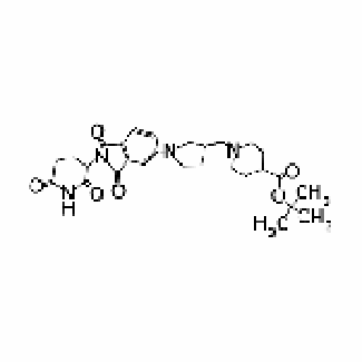 CC(C)(C)OC(=O)C1CCN(C[C@H]2CCN(c3ccc4c(c3)C(=O)N(C3CCC(=O)NC3=O)C4=O)C2)CC1